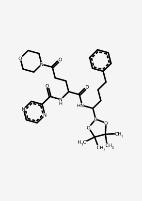 CC1(C)OB(C(CCCc2ccccc2)NC(=O)C(CCC(=O)N2CCOCC2)NC(=O)c2cnccn2)OC1(C)C